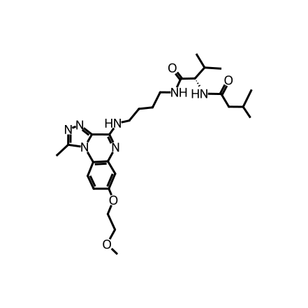 COCCOc1ccc2c(c1)nc(NCCCCNC(=O)[C@@H](NC(=O)CC(C)C)C(C)C)c1nnc(C)n12